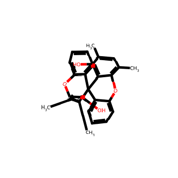 Cc1cc(C)c2c(c1O)C1(c3ccccc3O2)c2ccccc2Oc2c(C)cc(C)c(O)c21